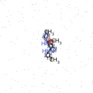 CCc1cccc(Nc2ncnc3cc(OC)c(NC(=O)CN4CCN(C)CC4)cc23)c1